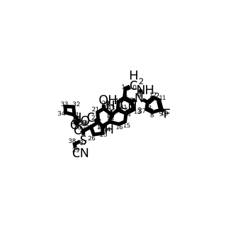 C=CC1=C(N(N)c2ccc(F)cc2)C=C2CCC3[C@H](C(O)CC4(C)[C@H]3CCC4(OC(=O)C3CCC3)C(=O)SCC#N)C2(C)C1